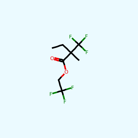 CCC(C)(C(=O)OCC(F)(F)F)C(F)(F)F